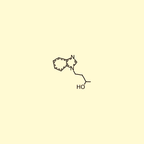 CC(O)CCn1cnc2ccccc21